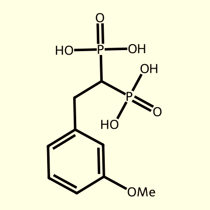 COc1cccc(CC(P(=O)(O)O)P(=O)(O)O)c1